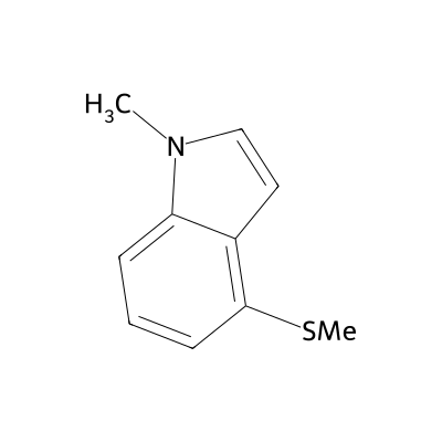 CSc1cccc2c1ccn2C